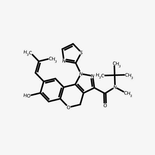 CC(C)=Cc1cc2c(cc1O)OCc1c(C(=O)N(C)C(C)(C)C)nn(-c3nccs3)c1-2